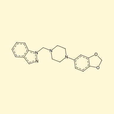 c1ccc2c(c1)cnn2CN1CCN(c2ccc3c(c2)OCO3)CC1